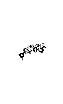 CC(=O)c1ccc[n+]([C@@H]2O[C@H](COP3(=O)OCCC(c4cc(F)cc(F)c4)O3)C(O)[C@@H]2O)c1